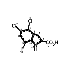 O=C(O)c1cc2c(Cl)c(Cl)cc(F)c2[nH]1